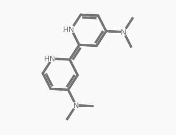 CN(C)C1=C/C(=C2\C=C(N(C)C)C=CN2)NC=C1